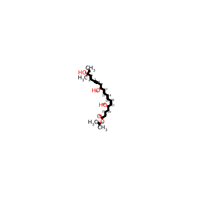 CC[C@@](C)(O)/C=C/C#CCC(O)/C=C/C=C/C=C\C(O)CCCC(=O)OC(C)C